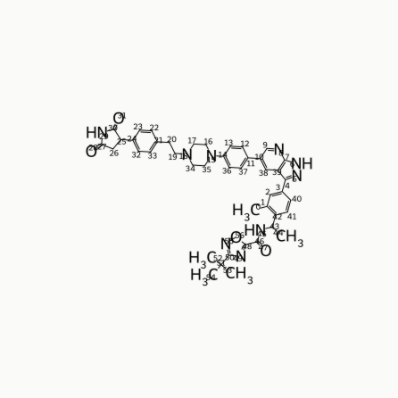 Cc1cc(-c2n[nH]c3ncc(-c4ccc(N5CCN(CCc6ccc(C7CC(=O)NC7=O)cc6)CC5)cc4)cc23)ccc1C(C)NC(=O)c1nc(C(C)(C)C)no1